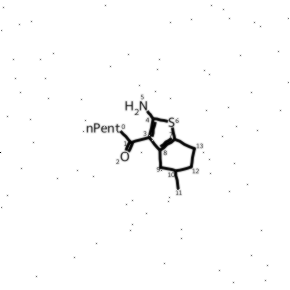 CCCCCC(=O)c1c(N)sc2c1CC(C)CC2